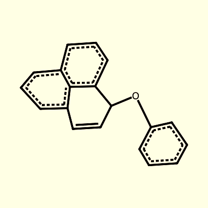 C1=CC(Oc2ccccc2)c2cccc3cccc1c23